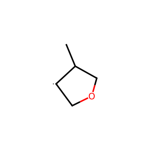 CC1[CH]COC1